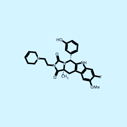 COc1cc2c3c([nH]c2cc1F)[C@@H](c1cccc(O)c1)N1C(=O)N(CCN2CC=CCC2)C(=O)[C@]1(C)C3